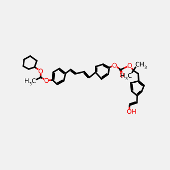 CC(Oc1ccc(C=CC=Cc2ccc(OC(=O)OC(C)(C)Cc3ccc(C=CO)cc3)cc2)cc1)OC1CCCCC1